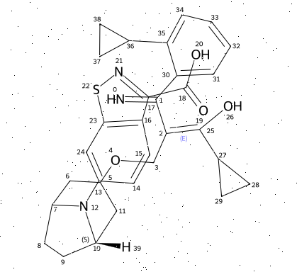 N=C(/C(COC1CC2CC[C@@H](C1)N2c1ccc2c(C(=O)O)nsc2c1)=C(\O)C1CC1)c1ccccc1C1CC1